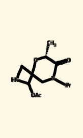 CC(=O)OC1NCC12CN(C(C)C)C(=O)[C@@H](C)O2